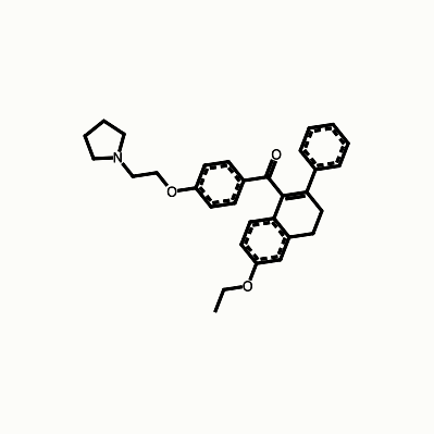 CCOc1ccc2c(c1)CCC(c1ccccc1)=C2C(=O)c1ccc(OCCN2CCCC2)cc1